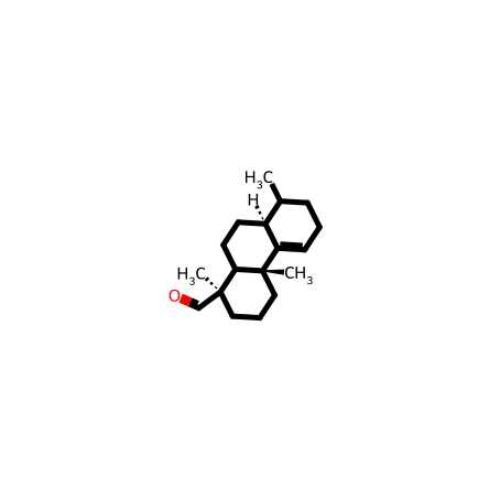 CC1CCC=C2[C@H]1CCC1[C@@]2(C)CCC[C@@]1(C)C=O